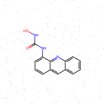 O=C(NO)Nc1cccc2cc3ccccc3nc12